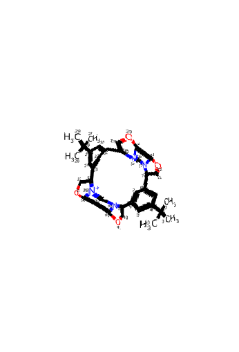 CC(C)(C)c1cc2cc(c1)C1COc3c4[n+](cn31)C(CO4)c1cc(cc(C(C)(C)C)c1)C1COc3c4n(c[n+]31)C2CO4